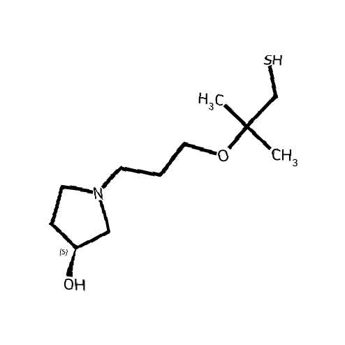 CC(C)(CS)OCCCN1CC[C@H](O)C1